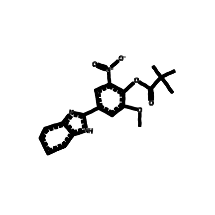 COc1cc(-c2nc3ccccc3[nH]2)cc([N+](=O)[O-])c1OC(=O)C(C)(C)C